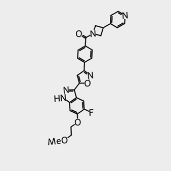 COCCOc1cc2[nH]nc(-c3cc(-c4ccc(C(=O)N5CC(c6ccncc6)C5)cc4)no3)c2cc1F